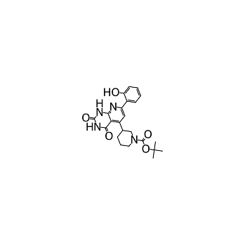 CC(C)(C)OC(=O)N1CCCC(c2cc(-c3ccccc3O)nc3[nH]c(=O)[nH]c(=O)c23)C1